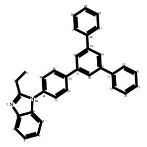 CCc1nc2ccccc2n1-c1ccc(-c2cc(-c3ccccc3)cc(-c3ccccc3)c2)cc1